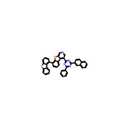 c1ccc(-c2nc(-c3ccc4ccccc4c3)nc(-c3cncc4oc5c(-c6cccc7sc8ccccc8c67)cccc5c34)n2)cc1